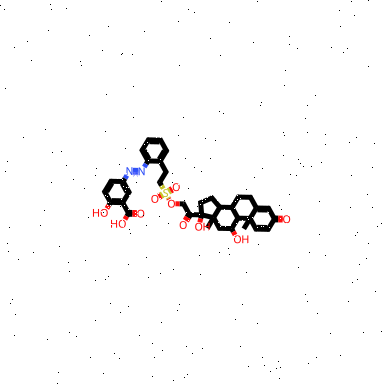 CC12C=CC(=O)C=C1CCC1C2C(O)CC2(C)C1CCC2(O)C(=O)COS(=O)(=O)CCc1ccccc1/N=N/c1ccc(O)c(C(=O)O)c1